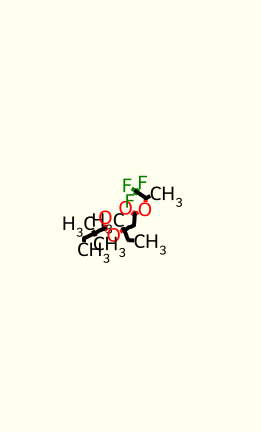 CCC(C)(CC(=O)OC(C)C(F)(F)F)OC(=O)C(C)(C)CC